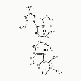 Cc1cn(C)nc1[C@H](Nc1c(Nc2ccnc(C(=O)N(C)C)c2O)c(=O)c1=O)C1(C)CC=CC1